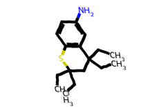 CCC1(CC)CC(CC)(CC)c2cc(N)ccc2S1